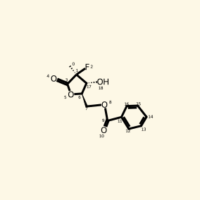 C[C@@]1(F)C(=O)O[C@H](COC(=O)c2ccccc2)[C@H]1O